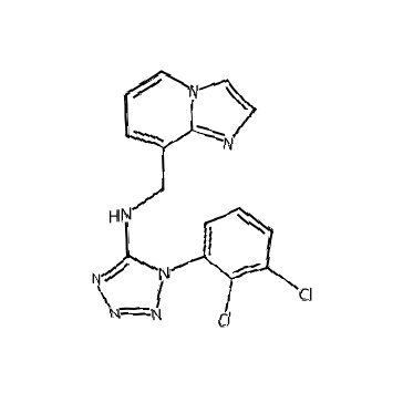 Clc1cccc(-n2nnnc2NCc2cccn3ccnc23)c1Cl